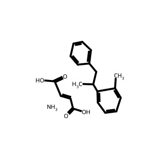 Cc1ccccc1C(C)Cc1ccccc1.N.O=C(O)C=CC(=O)O